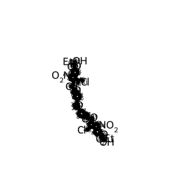 CCN(O)S(=O)(=O)c1ccc2c3c(cc([N+](=O)[O-])c2c1)N(C(=O)c1cc2cc(-c4ccc(-c5ccc6oc(C(=O)N7CC(CCl)c8c7cc([N+](=O)[O-])c7cc(S(=O)(=O)N(O)CC)ccc87)cc6c5)o4)ccc2o1)CC3CCl